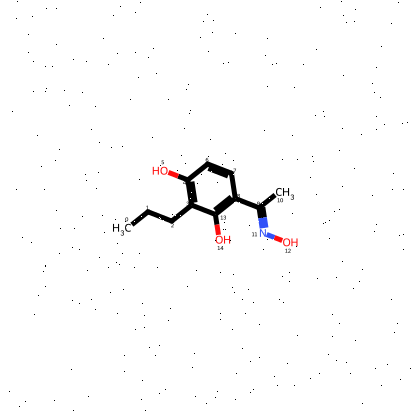 CCCc1c(O)ccc(/C(C)=N/O)c1O